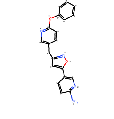 Nc1ccc(-c2cc(Cc3ccc(Oc4ccccc4)nc3)no2)cn1